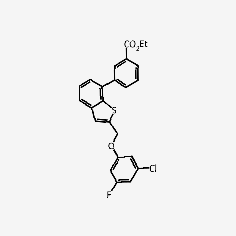 CCOC(=O)c1cccc(-c2cccc3cc(COc4cc(F)cc(Cl)c4)sc23)c1